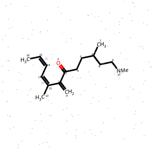 C=C(C(=O)CCC(C)CCNC)/C(C)=C\C=C/C